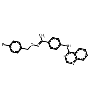 CC(=NOCc1ccc(F)cc1)c1ccc(Nc2ncnc3ccccc23)cc1